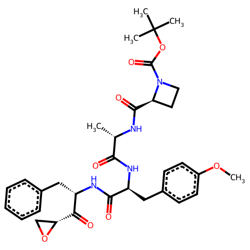 COc1ccc(C[C@H](NC(=O)[C@H](C)NC(=O)[C@@H]2CCN2C(=O)OC(C)(C)C)C(=O)N[C@@H](Cc2ccccc2)C(=O)[C@H]2CO2)cc1